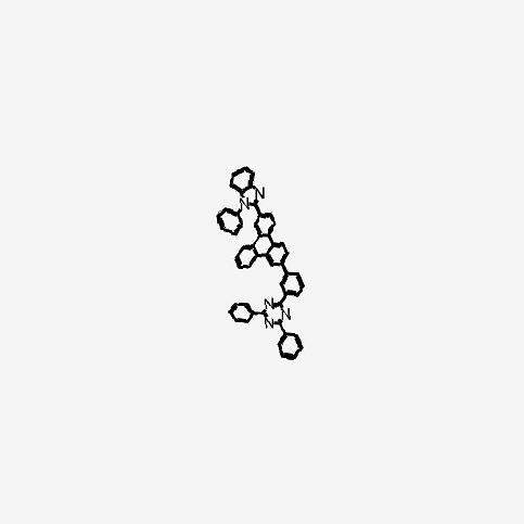 c1ccc(-c2nc(-c3ccccc3)nc(-c3cccc(-c4ccc5c6ccc(-c7nc8ccccc8n7-c7ccccc7)cc6c6ccccc6c5c4)c3)n2)cc1